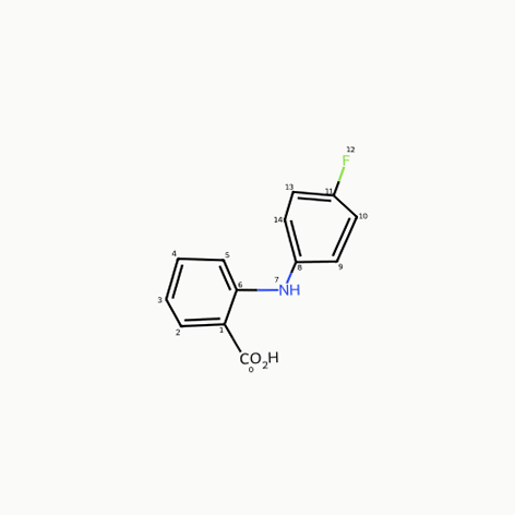 O=C(O)c1ccccc1Nc1ccc(F)cc1